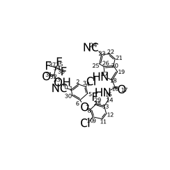 N#Cc1cc(Cl)cc(Oc2c(Cl)ccc(CNC(=O)c3cc4ccc(C#N)cc4[nH]3)c2F)c1.O=C(O)C(F)(F)F